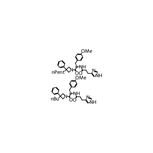 CCCCC1(c2ccccc2)CN(C(=O)[C@@H](Cc2ccc(OC)cc2)NC(=O)CCc2c[nH]cn2)C1.CCCCCC1(c2ccccc2)CN(C(=O)[C@@H](Cc2ccc(OC)cc2)NC(=O)CCc2c[nH]cn2)C1